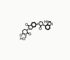 O=C1CCC(N2Cc3cc(N4CCN(c5cccc6nc[nH]c56)C4=O)ccc3C2=O)C(=O)N1CO